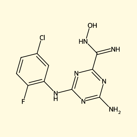 N=C(NO)c1nc(N)nc(Nc2cc(Cl)ccc2F)n1